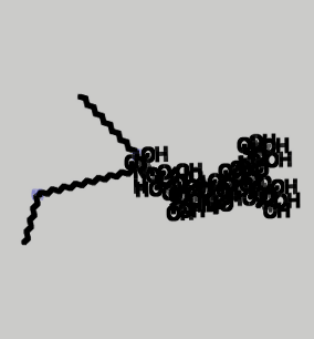 CCCCCCCC/C=C\CCCCCCCCCCCCCCCC(=O)N[C@@H](CO[C@@H]1OC(CO)[C@@H](O[C@@H]2OC(CO)[C@H](O)[C@H](O[C@@H]3OC(CO)[C@@H](O[C@@H]4OC(CO)[C@H](O)[C@H](O[C@@H]5OC(CO)[C@@H](O[C@H]6OC(C)[C@@H](O)C(O)[C@@H]6O)[C@H](O[C@@H]6OC(CO)[C@H](O)[C@H](O)C6O)C5NC(C)=O)C4O)[C@H](O)C3NC(C)=O)C2O)[C@H](O)C1O)[C@H](O)/C=C/CCCCCCCCCCCCC